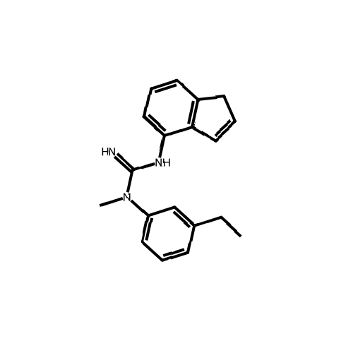 CCc1cccc(N(C)C(=N)Nc2cccc3c2C=CC3)c1